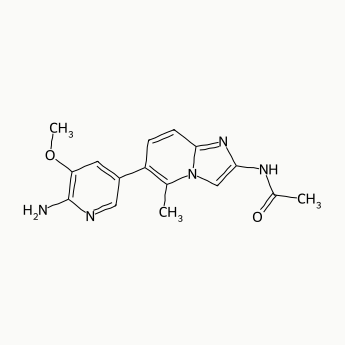 COc1cc(-c2ccc3nc(NC(C)=O)cn3c2C)cnc1N